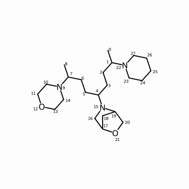 CC(CCC(CCC(C)N1CCOCC1)N1CC2CC1CO2)N1CCCCC1